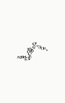 CC(=O)Nc1cc(Oc2ccc3c(C(=O)Nc4ccc(C=C5CCN(C)CC5)c(C(F)(F)F)c4)cccc3c2)ncn1